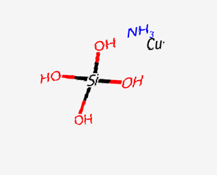 N.O[Si](O)(O)O.[Cu]